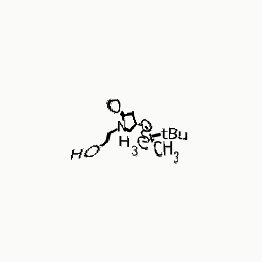 CC(C)(C)[Si](C)(C)O[C@@H]1CC(=O)N(CCO)C1